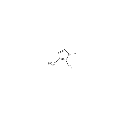 Cn1ccc(C(=O)O)c1C(F)(F)F